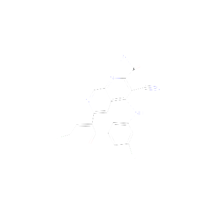 N#Cc1c(C(N)=O)nc2cnc(C([C]=O)=CCBr)cc2c1Nc1cccc(Br)c1